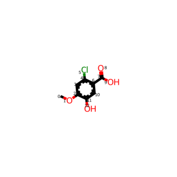 COc1cc(Cl)c(C(=O)O)cc1O